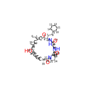 C/C=C1/CC(=O)C(CCc2ccccc2)NC(=O)CNC(=O)[C@@H]2CCCN2C(=O)[C@H](C)CCC[C@](C)(O)C[C@@H](C)C1